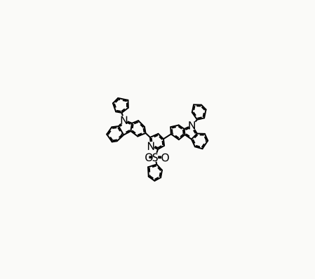 O=S(=O)(c1ccccc1)c1cc(-c2ccc3c(c2)c2ccccc2n3-c2ccccc2)cc(-c2ccc3c(c2)c2ccccc2n3-c2ccccc2)n1